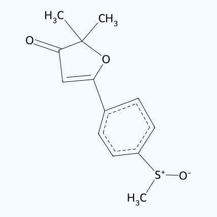 C[S+]([O-])c1ccc(C2=CC(=O)C(C)(C)O2)cc1